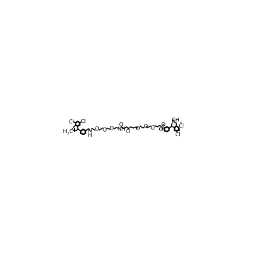 CN1Cc2c(Cl)cc(Cl)cc2C(c2cccc(CNCCOCCOCCOCCNC(=O)CCC(=O)CCCOCCOCCOCCCS(=O)(=O)c3cccc(C4CN(C)Cc5c(Cl)cc(Cl)cc54)c3)c2)C1